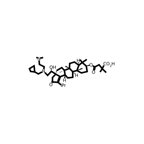 CC(C)C1=C2[C@H]3CC[C@@H]4[C@@]5(C)CC[C@H](OC(=O)CC(C)(C)C(=O)O)C(C)(C)[C@@H]5CC[C@@]4(C)[C@]3(C)CC[C@@]2([C@@H](O)CN(CCN(C)C)CC2CCC2)CC1=O